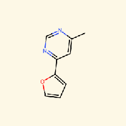 Cc1cc(-c2ccco2)n[c]n1